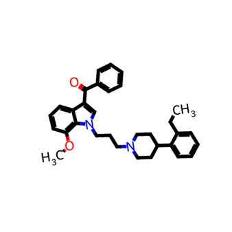 CCc1ccccc1C1CCN(CCCn2cc(C(=O)c3ccccc3)c3cccc(OC)c32)CC1